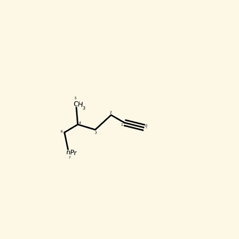 [C]#CCCC(C)CCCC